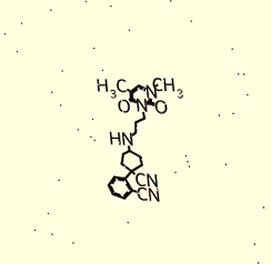 Cc1cn(C)c(=O)n(CCCNC2CCC(C#N)(c3ccccc3C#N)CC2)c1=O